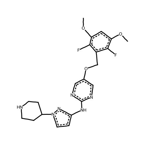 COc1cc(OC)c(F)c(COc2cnc(Nc3ccn(C4CCNCC4)n3)nc2)c1F